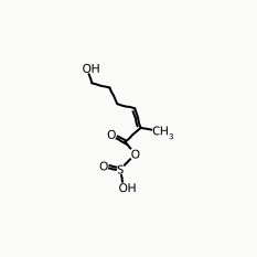 CC(=CCCCO)C(=O)OS(=O)O